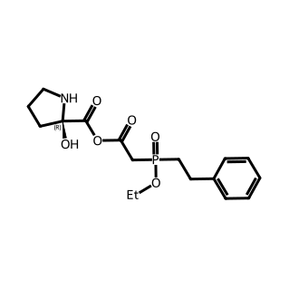 CCOP(=O)(CCc1ccccc1)CC(=O)OC(=O)[C@]1(O)CCCN1